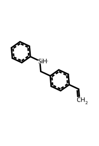 C=Cc1ccc(C[SiH]c2ccccc2)cc1